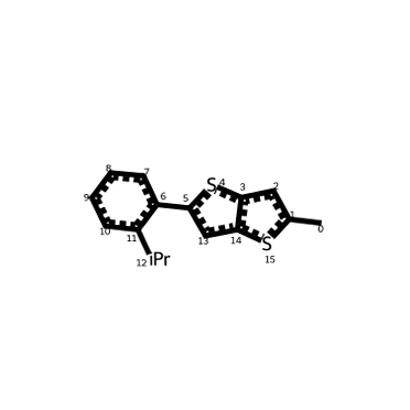 Cc1cc2sc(-c3ccccc3C(C)C)cc2s1